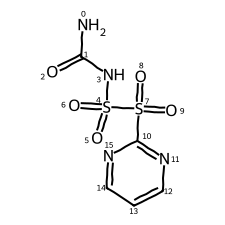 NC(=O)NS(=O)(=O)S(=O)(=O)c1ncccn1